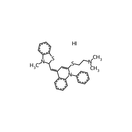 CN(C)CCSC1=CC(=CC2Sc3ccccc3N2C)c2ccccc2N1c1ccccc1.I